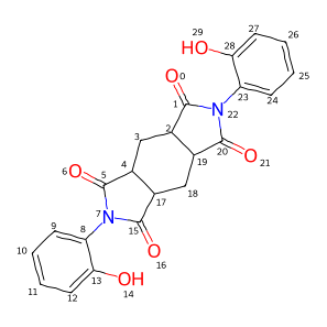 O=C1C2CC3C(=O)N(c4ccccc4O)C(=O)C3CC2C(=O)N1c1ccccc1O